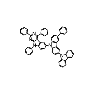 c1ccc(-c2ccc3c(c2)c2cc(-n4c5ccccc5c5ccccc54)ccc2n3-c2ccc3c(c2)c2c(-c4ccccc4)nc(-c4ccccc4)nc2n3-c2ccccc2)cc1